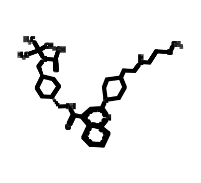 COCCNCCC1CCN(c2cc(C(=O)NC[C@H]3CC[C@H](CN(C(=O)O)C(C)(C)C)CC3)c3ccccc3n2)CC1